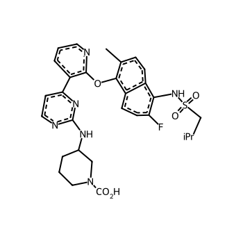 Cc1ccc2c(NS(=O)(=O)CC(C)C)c(F)ccc2c1Oc1ncccc1-c1ccnc(NC2CCCN(C(=O)O)C2)n1